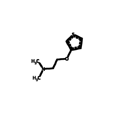 CN(C)CCOc1ccsc1